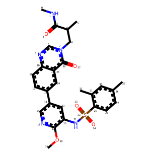 CNC(=O)C(C)Cn1cnc2ccc(-c3cnc(OC)c(NS(=O)(=O)c4ccc(C)cc4C)c3)cc2c1=O